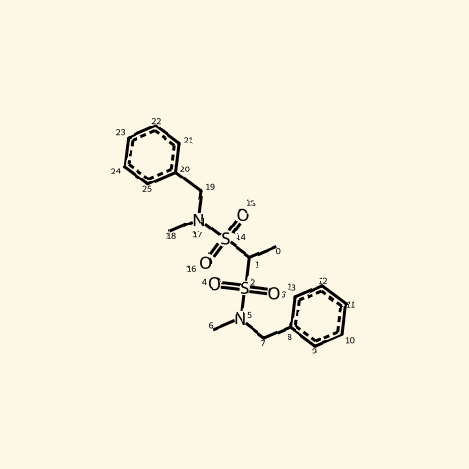 CC(S(=O)(=O)N(C)Cc1ccccc1)S(=O)(=O)N(C)Cc1ccccc1